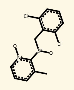 Cc1ccc[n+]([O-])c1[S+]([O-])Cc1c(Cl)cccc1Cl